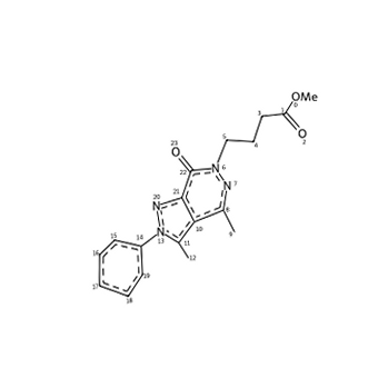 COC(=O)CCCn1nc(C)c2c(C)n(-c3ccccc3)nc2c1=O